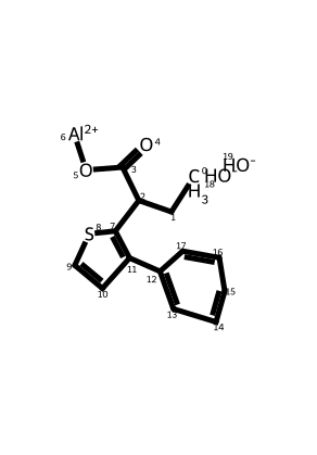 CCC(C(=O)[O][Al+2])c1sccc1-c1ccccc1.[OH-].[OH-]